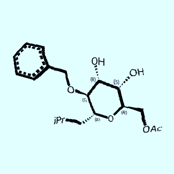 CC(=O)OC[C@H]1O[C@H](CC(C)C)[C@@H](OCc2ccccc2)[C@H](O)[C@@H]1O